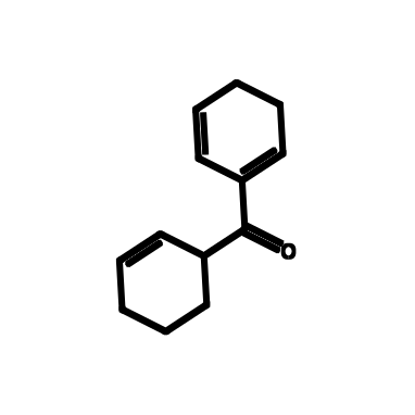 O=C(C1=CCCC=C1)C1C=CCCC1